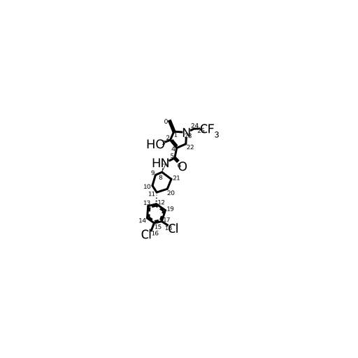 C=C1C(O)=C(C(=O)N[C@H]2CC[C@@H](c3ccc(Cl)c(Cl)c3)CC2)CN1CC(F)(F)F